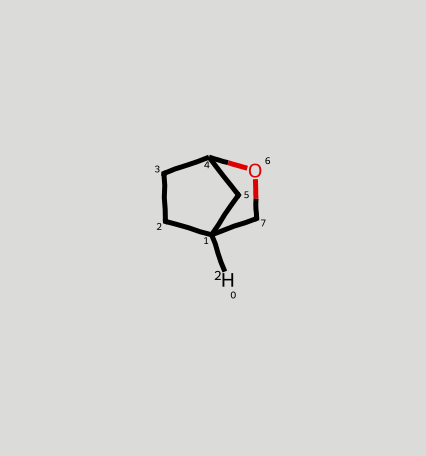 [2H]C12CCC(C1)OC2